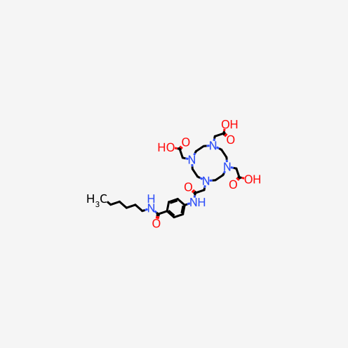 CCCCCCNC(=O)c1ccc(NC(=O)CN2CCN(CC(=O)O)CCN(CC(=O)O)CCN(CC(=O)O)CC2)cc1